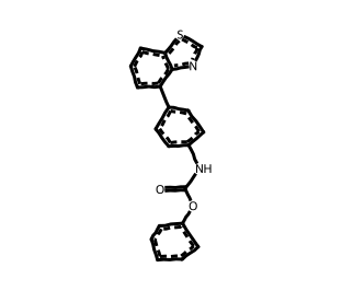 O=C(Nc1ccc(-c2cccc3scnc23)cc1)Oc1ccccc1